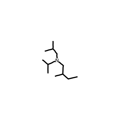 CCC(C)CN(CC(C)C)C(C)C